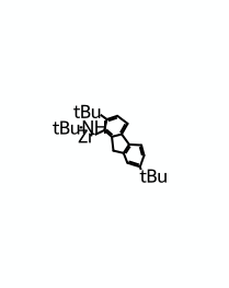 CC(C)(C)[NH][Zr][c]1c(C(C)(C)C)ccc2c1Cc1cc(C(C)(C)C)ccc1-2